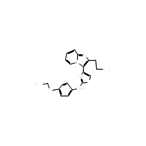 CCCc1nc2ccccn2c1-c1csc(Nc2ccc(OCC)cc2)n1